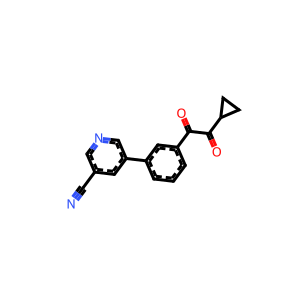 N#Cc1cncc(-c2cccc(C(=O)C(=O)C3CC3)c2)c1